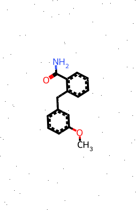 COc1cccc(Cc2ccccc2C(N)=O)c1